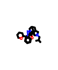 CC(C)CN1CC2CC3CNC2(C(=O)NCC2CCCCO2)C1C3Cc1ccccc1